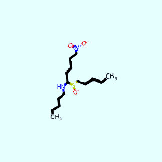 CCCCCNC(CCCC[N+](=O)[O-])[S+]([O-])CCCCC